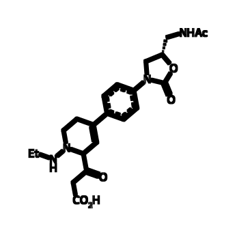 CCNN1CCC(c2ccc(N3C[C@H](CNC(C)=O)OC3=O)cc2)=CC1C(=O)CC(=O)O